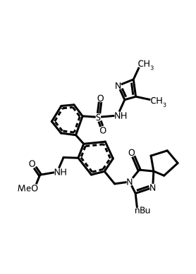 CCCCC1=NC2(CCCC2)C(=O)N1Cc1ccc(-c2ccccc2S(=O)(=O)NC2=NC(C)=C2C)c(CNC(=O)OC)c1